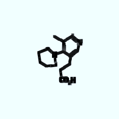 Cc1[c]ncc(CCC(=O)O)c1N1CCCCC1